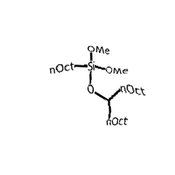 CCCCCCCCC(CCCCCCCC)O[Si](CCCCCCCC)(OC)OC